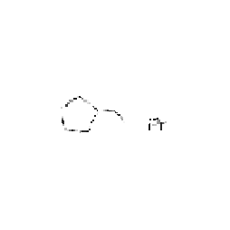 C[C](C)CCC1CCCC1